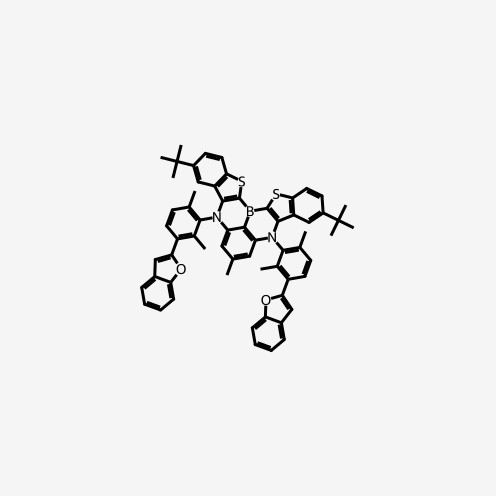 Cc1cc2c3c(c1)N(c1c(C)ccc(-c4cc5ccccc5o4)c1C)c1c(sc4ccc(C(C)(C)C)cc14)B3c1sc3ccc(C(C)(C)C)cc3c1N2c1c(C)ccc(-c2cc3ccccc3o2)c1C